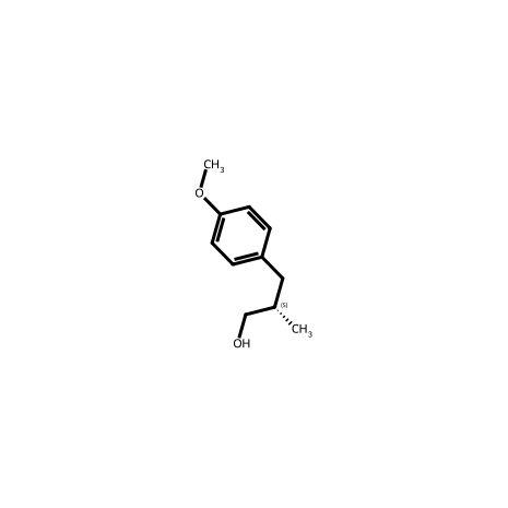 COc1ccc(C[C@H](C)CO)cc1